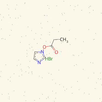 Br.CCC(=O)On1ccnc1